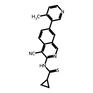 Cc1ccncc1-c1ccc2c(C#N)c(NC(=S)C3CC3)ncc2c1